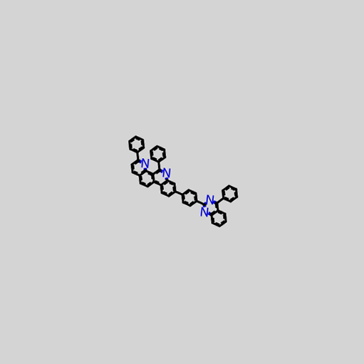 c1ccc(-c2ccc3ccc4c5ccc(-c6ccc(-c7nc(-c8ccccc8)c8ccccc8n7)cc6)cc5nc(-c5ccccc5)c4c3n2)cc1